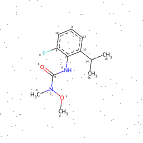 CON(C)C(=O)Nc1c(F)cccc1C(C)C